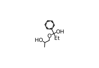 CCC(O)(OCC(C)O)c1ccccc1